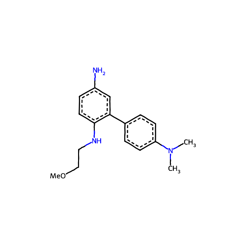 COCCNc1ccc(N)cc1-c1ccc(N(C)C)cc1